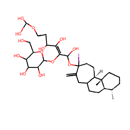 C=C1CC2CCC3[C@@H](C)CCC[C@@]3(C)[C@@H]2CCC1(I)OC(O)/C(OC1OC(CO)C(O)C(O)C1O)=C(\O)C(O)CCOC(O)O